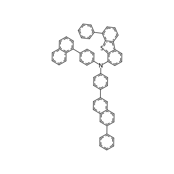 c1ccc(-c2ccc3cc(-c4ccc(N(c5ccc(-c6cccc7ccccc67)cc5)c5cccc6c5sc5c(-c7ccccc7)cccc56)cc4)ccc3c2)cc1